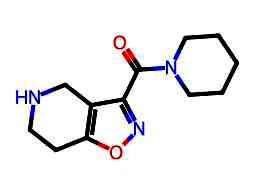 O=C(c1noc2c1CNCC2)N1CCCCC1